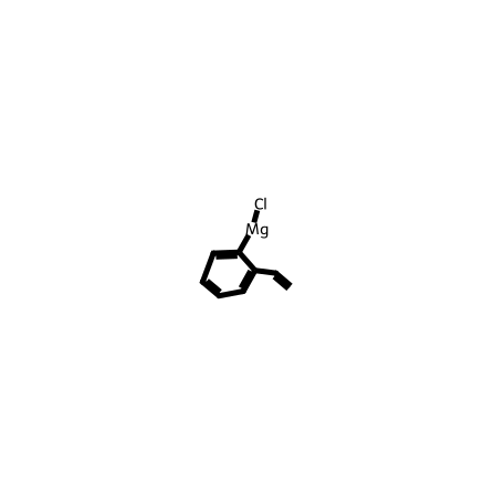 C=Cc1cccc[c]1[Mg][Cl]